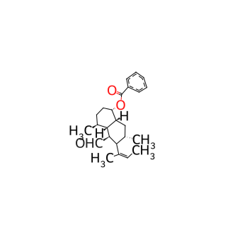 C/C=C(/C)C1[C@@H](C=O)[C@H]2[C@@H](C[C@@H]1C)[C@@H](OC(=O)c1ccccc1)CC[C@@H]2C